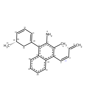 C=C/C=C\c1c(C)c(N)c(C2=CC=C[C@@H](C)C2)c2ccccc12